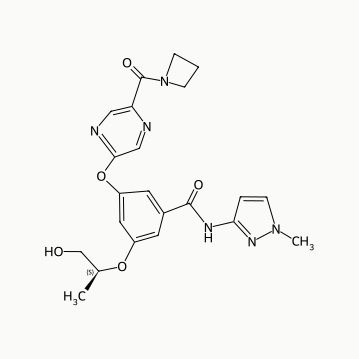 C[C@@H](CO)Oc1cc(Oc2cnc(C(=O)N3CCC3)cn2)cc(C(=O)Nc2ccn(C)n2)c1